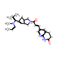 C/C=C\N(C)C(C1=CC2CN(C(=O)/C=C/c3cnc4c(c3)CCC(=O)N4)CC2C1)=C(C)C